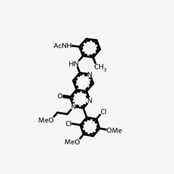 COCCn1c(-c2c(Cl)c(OC)cc(OC)c2Cl)nc2cnc(Nc3c(C)cccc3NC(C)=O)cc2c1=O